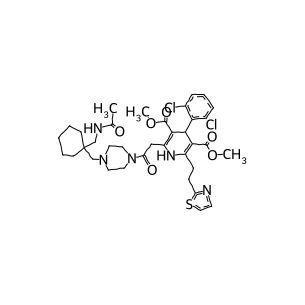 COC(=O)C1=C(CCc2nccs2)NC(CC(=O)N2CCN(CC3(CNC(C)=O)CCCCC3)CC2)=C(C(=O)OC)C1c1c(Cl)cccc1Cl